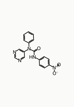 O=C(Nc1ccc([N+](=O)[O-])cc1)N(c1ccccc1)c1cncnc1